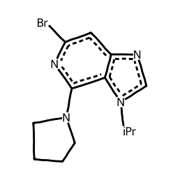 CC(C)n1cnc2cc(Br)nc(N3CCCC3)c21